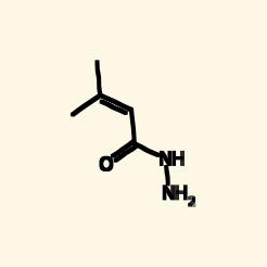 CC(C)=CC(=O)NN